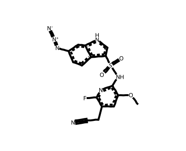 COc1cc(CC#N)c(F)nc1NS(=O)(=O)c1c[nH]c2cc(N=[N+]=[N-])ccc12